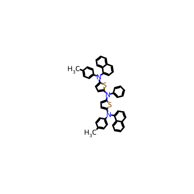 Cc1ccc(N(c2ccc(N(c3ccccc3)c3ccc(N(c4ccc(C)cc4)c4cccc5ccccc45)s3)s2)c2cccc3ccccc23)cc1